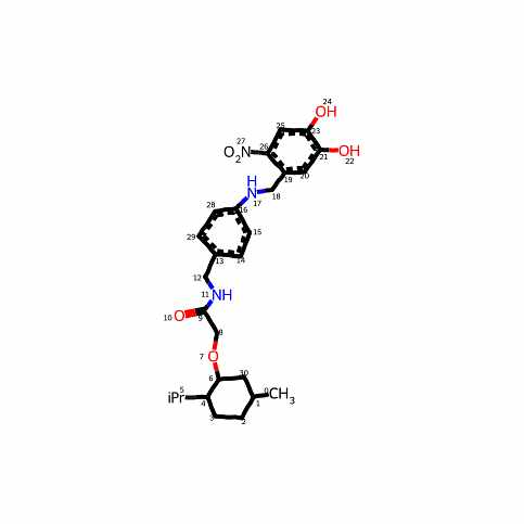 CC1CCC(C(C)C)C(OCC(=O)NCc2ccc(NCc3cc(O)c(O)cc3[N+](=O)[O-])cc2)C1